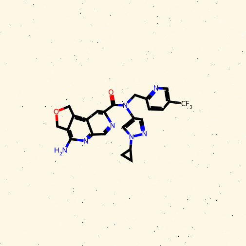 Nc1nc2cnc(C(=O)N(Cc3ccc(C(F)(F)F)cn3)c3cnn(C4CC4)c3)cc2c2c1COC2